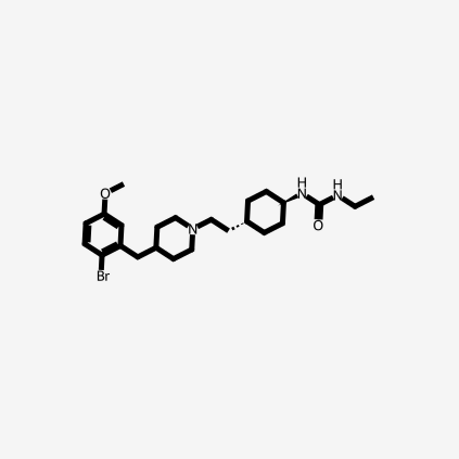 CCNC(=O)N[C@H]1CC[C@H](CCN2CCC(Cc3cc(OC)ccc3Br)CC2)CC1